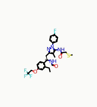 CCc1cc(OCC(F)(F)F)ccc1[C@@H](Cc1nn(-c2ccc(F)cc2)c(NC(=O)CSC)c1C)NC=O